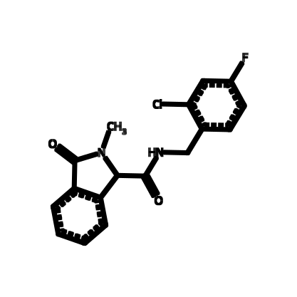 CN1C(=O)c2ccccc2C1C(=O)NCc1ccc(F)cc1Cl